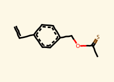 C=Cc1ccc(COC(C)=S)cc1